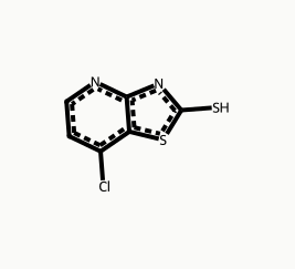 Sc1nc2nccc(Cl)c2s1